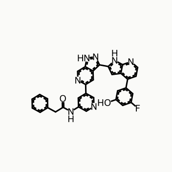 O=C(Cc1ccccc1)Nc1cncc(-c2cc3c(-c4cc5c(-c6cc(O)cc(F)c6)ccnc5[nH]4)n[nH]c3cn2)c1